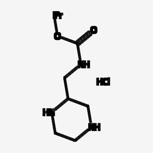 CC(C)OC(=O)NCC1CNCCN1.Cl